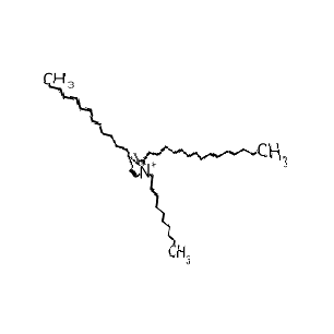 CCCCCCCCCCCCCCCc1n(CCCCCCCCCCCCC)cc[n+]1CCCCCCCCCC